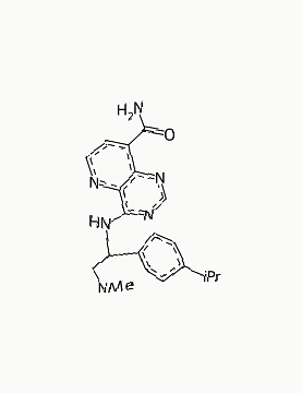 CNCC(Nc1ncnc2c(C(N)=O)ccnc12)c1ccc(C(C)C)cc1